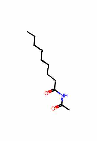 CCCCCCCCC(=O)NC(C)=O